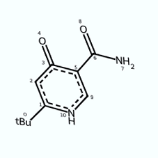 CC(C)(C)c1cc(=O)c(C(N)=O)c[nH]1